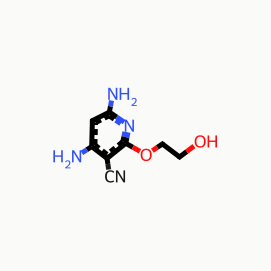 N#Cc1c(N)cc(N)nc1OCCO